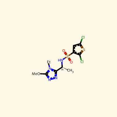 CCn1c(OC)nnc1[C@@H](C)NS(=O)(=O)c1cc(Cl)sc1Cl